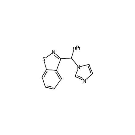 CCCC(c1nsc2ccccc12)n1ccnc1